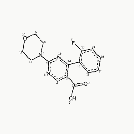 O=C(O)c1cnc(N2CCOCC2)nc1-c1ccccc1F